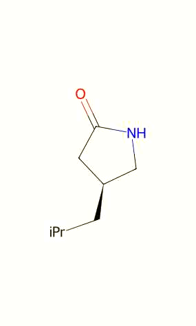 CC(C)C[C@@H]1CNC(=O)C1